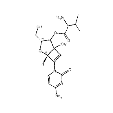 CC(C)C(N)C(=O)OC1[C@@H](CO)O[C@H]2C(n3ccc(N)nc3=O)=CC12O